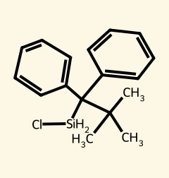 CC(C)(C)C([SiH2]Cl)(c1ccccc1)c1ccccc1